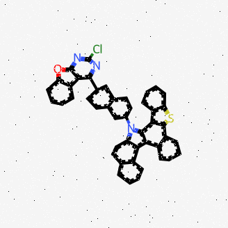 Clc1nc(-c2ccc3cc(-n4c5ccc6ccccc6c5c5c6ccccc6c6sc7ccccc7c6c54)ccc3c2)c2c(n1)oc1ccccc12